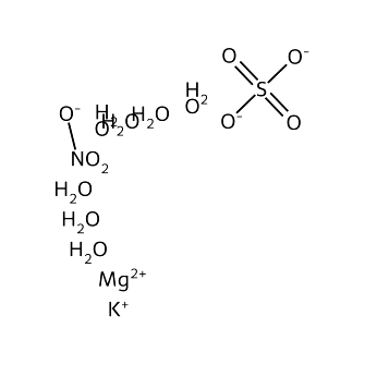 O.O.O.O.O.O.O.O=S(=O)([O-])[O-].O=[N+]([O-])[O-].[K+].[Mg+2]